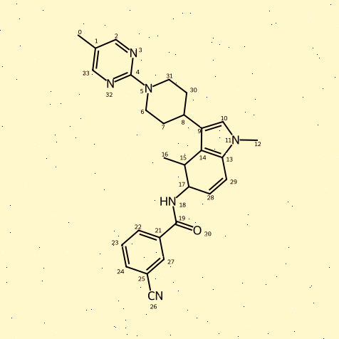 Cc1cnc(N2CCC(c3cn(C)c4c3C(C)C(NC(=O)c3cccc(C#N)c3)C=C4)CC2)nc1